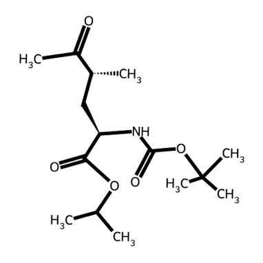 CC(=O)[C@H](C)C[C@@H](NC(=O)OC(C)(C)C)C(=O)OC(C)C